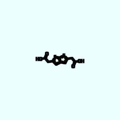 O=C(O)Cc1cc2cc(CC(=O)O)sc2s1